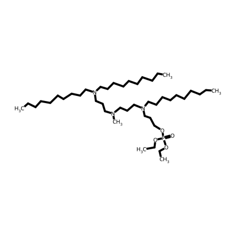 CCCCCCCCCCN(CCCCCCCCCC)CCCN(C)CCCN(CCCCCCCCCC)CCCOP(=O)(OCC)OCC